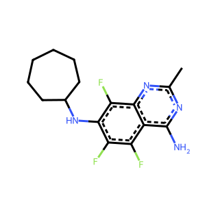 Cc1nc(N)c2c(F)c(F)c(NC3CCCCCC3)c(F)c2n1